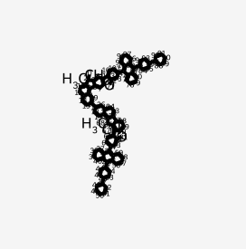 CC1(C)c2cc3c(cc2-c2c1ccc1ccc(-c4ccc5c6c(ccc5c4)-c4ccc5oc7cc(-c8c9ccccc9c(-c9ccc(-c%10ccccc%10)cc9)c9ccccc89)ccc7c5c4C6(C)C)cc21)oc1cc(-c2c4ccccc4c(-c4ccc(-c5ccccc5)cc4)c4ccccc24)ccc13